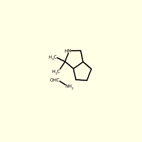 CC1(C)NCC2CCCC21.NC=O